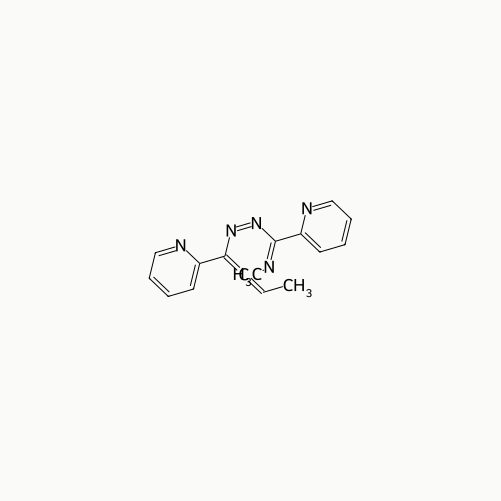 CC=C=C(/N=N\C(=N/C)c1ccccn1)c1ccccn1